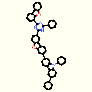 c1ccc(-c2ccc3c(c2)c2ccc(-c4ccc5c(c4)oc4ccc(-c6nc(-c7ccccc7)nc(-c7cccc8c7oc7ccccc78)n6)cc45)cc2n3-c2ccccc2)cc1